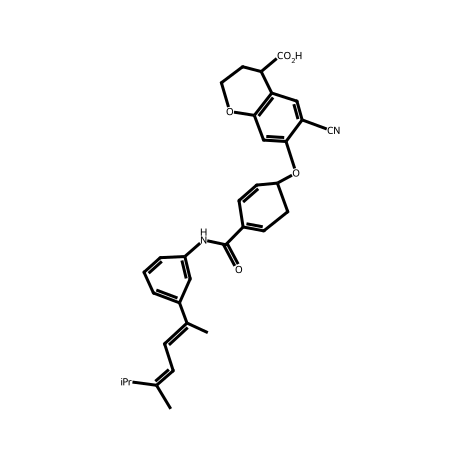 C/C(=C/C=C(\C)c1cccc(NC(=O)C2=CCC(Oc3cc4c(cc3C#N)C(C(=O)O)CCO4)C=C2)c1)C(C)C